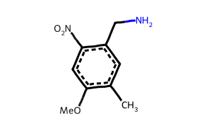 COc1cc([N+](=O)[O-])c(CN)cc1C